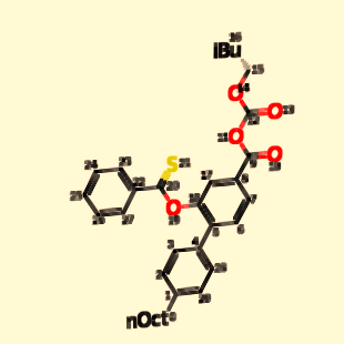 CCCCCCCCc1ccc(-c2ccc(C(=O)OC(=O)OC[C@@H](C)CC)cc2OC(=S)c2ccccc2)cc1